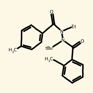 CCN(C(=O)c1ccc(C)cc1)N(C(=O)c1ccccc1C)C(C)(C)C